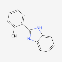 N#Cc1ccccc1-c1nc2ccccc2[nH]1